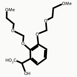 COCCOCOc1cccc(C(O)C(=O)O)c1OCOCCOC